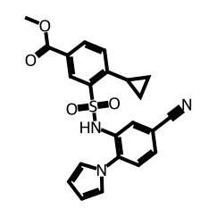 COC(=O)c1ccc(C2CC2)c(S(=O)(=O)Nc2cc(C#N)ccc2-n2cccc2)c1